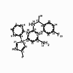 CC1=C[N@@+](c2cnccn2)(c2cc(N)nc(NC(C)c3ccc(F)cc3)n2)C=N1